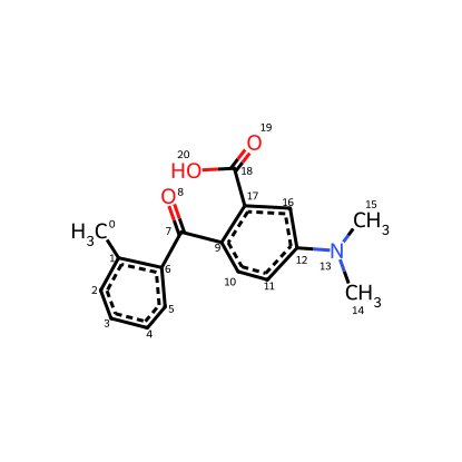 Cc1ccccc1C(=O)c1ccc(N(C)C)cc1C(=O)O